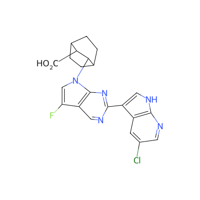 O=C(O)C1C2CCC(CC2)C1n1cc(F)c2cnc(-c3c[nH]c4ncc(Cl)cc34)nc21